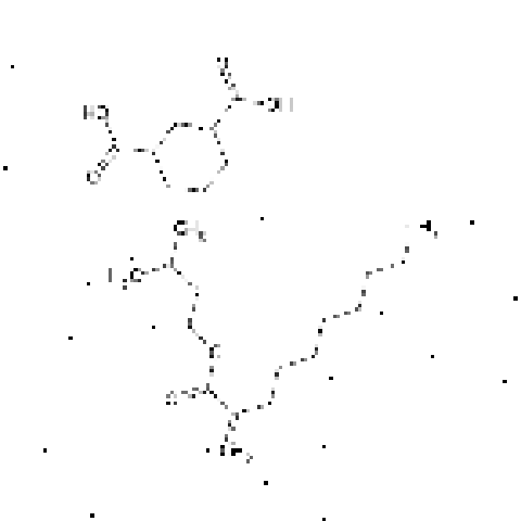 C=C(CCCCCCCC)C(=O)OCCC(C)C.O=C(O)C1CCCC(C(=O)O)C1